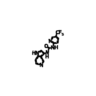 O=C(Nc1ccc(C(F)(F)F)cn1)Nc1c[nH]c2ccncc12